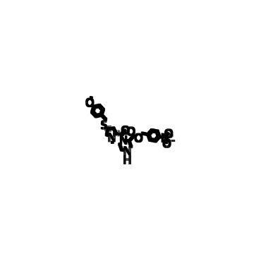 COc1ccc(CS[C@H]2C[C@@H](C(=O)N3CCNCC3C(=O)OCc3ccc([N+](=O)[O-])cc3)N(C)C2)cc1